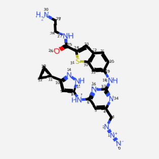 [N-]=[N+]=NCc1cc(Nc2cc(C3CC3)n[nH]2)nc(Nc2ccc3cc(C(=O)NCCN)sc3c2)n1